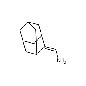 NC=C1C2CC3CC(C2)CC1C3